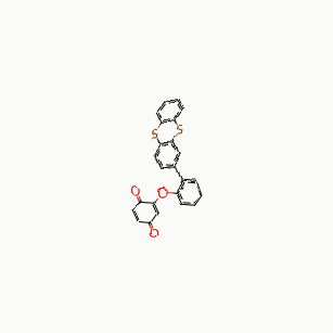 O=C1C=CC(=O)C(Oc2ccccc2-c2ccc3c(c2)Sc2ccccc2S3)=C1